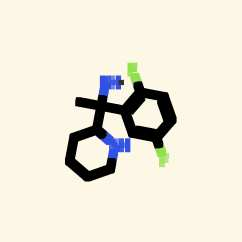 CC([NH])(c1cc(F)ccc1F)C1CCCCN1